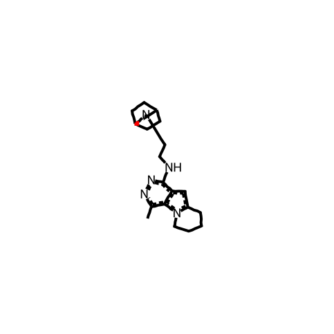 Cc1nnc(NCCN2CC3CCC(CC3)C2)c2cc3n(c12)CCCC3